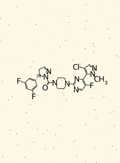 Cn1ncc(Cl)c1-c1nc(N2CCN(C(=O)N3N=CC[C@H]3c3cc(F)cc(F)c3)CC2)ncc1F